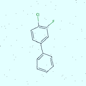 Fc1cc(-c2cc[c]cc2)ccc1Cl